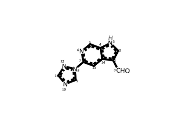 O=Cc1c[nH]c2cnc(-n3cncn3)cc12